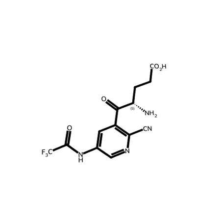 N#Cc1ncc(NC(=O)C(F)(F)F)cc1C(=O)[C@@H](N)CCC(=O)O